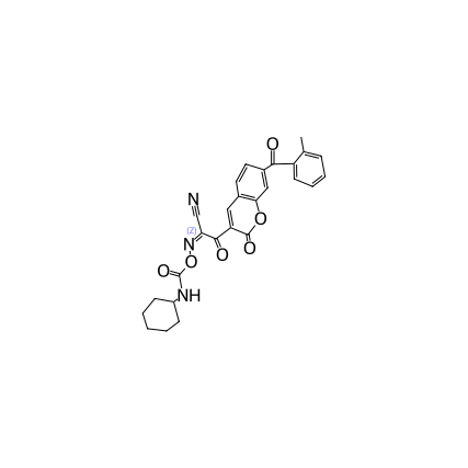 Cc1ccccc1C(=O)c1ccc2cc(C(=O)/C(C#N)=N\OC(=O)NC3CCCCC3)c(=O)oc2c1